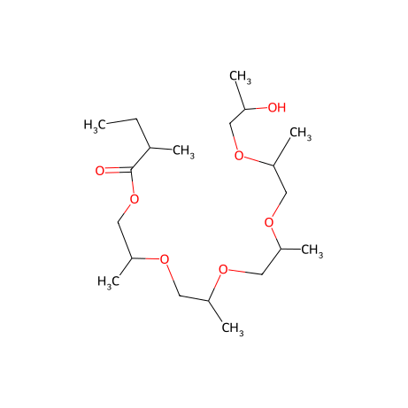 CCC(C)C(=O)OCC(C)OCC(C)OCC(C)OCC(C)OCC(C)O